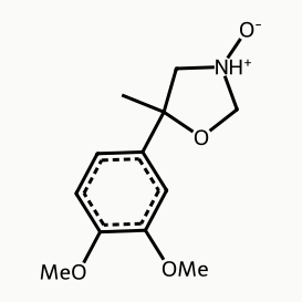 COc1ccc(C2(C)C[NH+]([O-])CO2)cc1OC